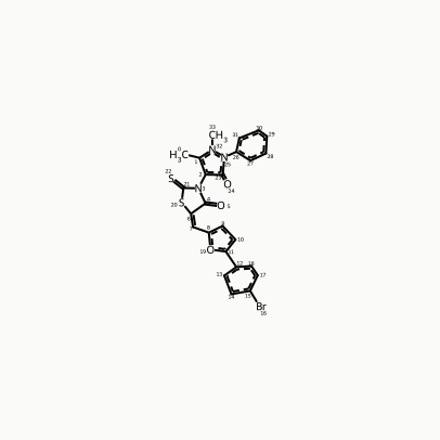 Cc1c(N2C(=O)C(=Cc3ccc(-c4ccc(Br)cc4)o3)SC2=S)c(=O)n(-c2ccccc2)n1C